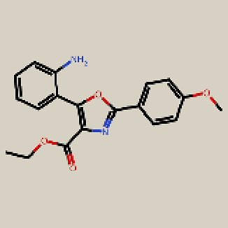 CCOC(=O)c1nc(-c2ccc(OC)cc2)oc1-c1ccccc1N